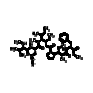 CC[C@H](C)[C@@H]([C@@H](CC(=O)N1CCC[C@H]1[C@H](OC)[C@@H](C)C(=O)N[C@@H](Cc1ccccc1)C(=O)OC)OC)N(C)C(=O)[C@H](CN=[N+]=[N-])NC(=O)[C@@H](NC)C(C)C